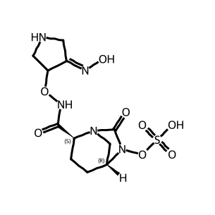 O=C(NOC1CNCC1=NO)[C@@H]1CC[C@@H]2CN1C(=O)N2OS(=O)(=O)O